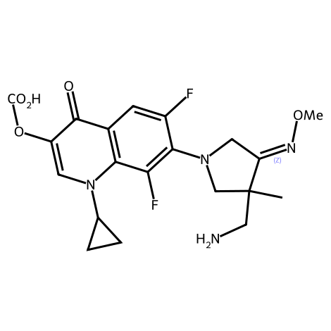 CO/N=C1\CN(c2c(F)cc3c(=O)c(OC(=O)O)cn(C4CC4)c3c2F)CC1(C)CN